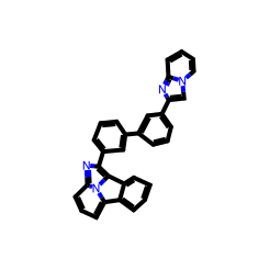 c1cc(-c2cccc(-c3nc4cccc5c6ccccc6c3n45)c2)cc(-c2cn3ccccc3n2)c1